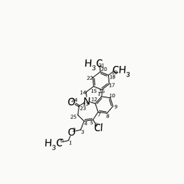 CCOCC1=C(Cl)c2ccccc2N(Cc2ccc(C)c(C)c2)C(=O)C1